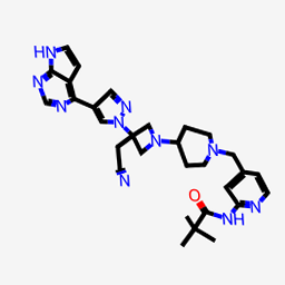 CC(C)(C)C(=O)Nc1cc(CN2CCC(N3CC(CC#N)(n4cc(-c5ncnc6[nH]ccc56)cn4)C3)CC2)ccn1